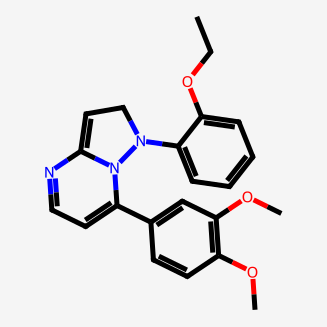 CCOc1ccccc1N1CC=C2N=CC=C(c3ccc(OC)c(OC)c3)N21